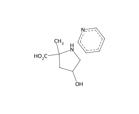 CC1(C(=O)O)CC(O)CN1.c1ccncc1